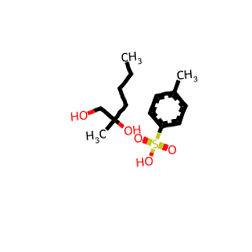 CCCCC(C)(O)CO.Cc1ccc(S(=O)(=O)O)cc1